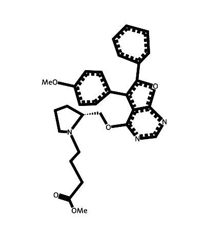 COC(=O)CCCN1CCC[C@@H]1COc1ncnc2oc(-c3ccccc3)c(-c3ccc(OC)cc3)c12